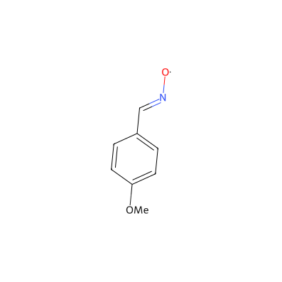 COc1ccc(/C=N/[O])cc1